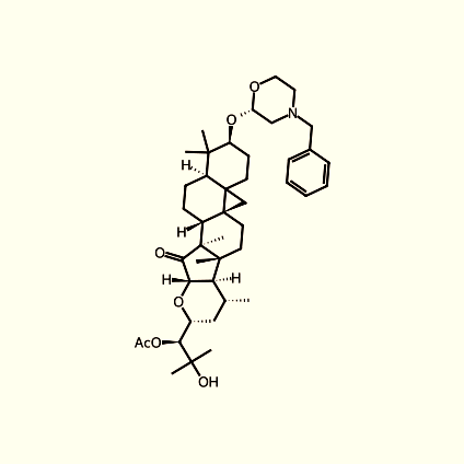 CC(=O)O[C@@H]([C@H]1C[C@@H](C)[C@H]2[C@H](O1)C(=O)[C@@]1(C)[C@@H]3CC[C@H]4C(C)(C)[C@@H](O[C@H]5CN(Cc6ccccc6)CCO5)CCC45C[C@@]35CC[C@]21C)C(C)(C)O